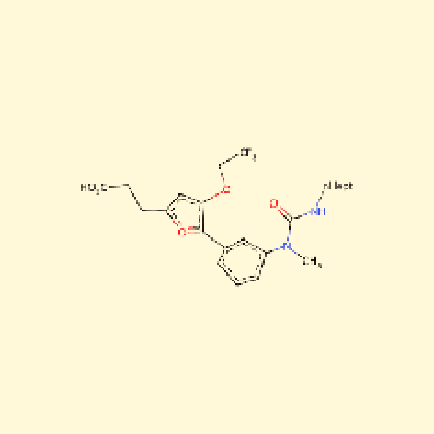 CCCCCCCNC(=O)N(C)c1cccc(-c2oc(CCC(=O)O)cc2OCC(F)(F)F)c1